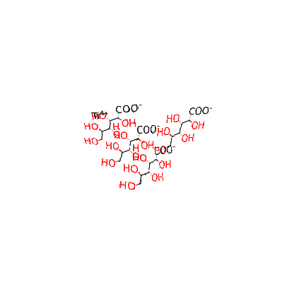 O=C([O-])[C@H](O)[C@@H](O)[C@H](O)[C@H](O)CO.O=C([O-])[C@H](O)[C@@H](O)[C@H](O)[C@H](O)CO.O=C([O-])[C@H](O)[C@@H](O)[C@H](O)[C@H](O)CO.O=C([O-])[C@H](O)[C@@H](O)[C@H](O)[C@H](O)CO.[Ti+4]